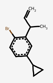 C=C[C](C)c1cc(C2CC2)ccc1Br